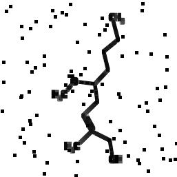 CCCCC(CC=C(C)CO)OC